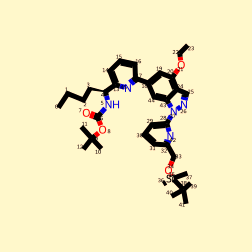 CCCC[C@H](NC(=O)OC(C)(C)C)c1cccc(-c2cc(OCC)c3cnn(-c4cccc(CO[Si](C)(C)C(C)(C)C)n4)c3c2)n1